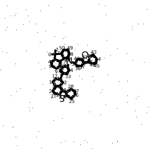 CC1(C)c2ccccc2-c2c(N(c3ccc(-c4ccc5ccc6sc7ccccc7c6c5c4)cc3)c3ccc4c(c3)oc3ccccc34)cccc21